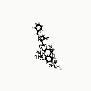 [2H]C([2H])([2H])N1C(=O)[C@H](NC(=O)c2nn(Cc3ccccc3)cc2F)[C@@H]2C[C@@H]2c2cc(S(C)(=O)=O)ccc21